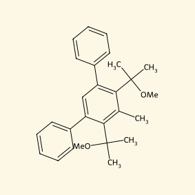 COC(C)(C)c1c(-c2ccccc2)cc(-c2ccccc2)c(C(C)(C)OC)c1C